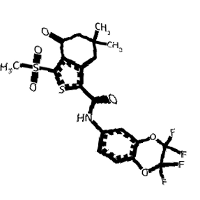 CC1(C)CC(=O)c2c(S(C)(=O)=O)sc(C(=O)Nc3ccc4c(c3)OC(F)(F)C(F)(F)O4)c2C1